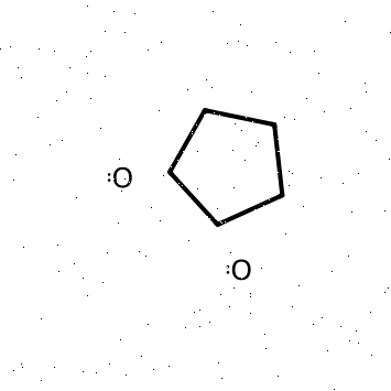 C1CCCC1.[O].[O]